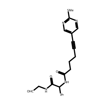 CSc1ncc(C#CCCCC(=O)NC(C(=O)NCC=O)C(C)C)cn1